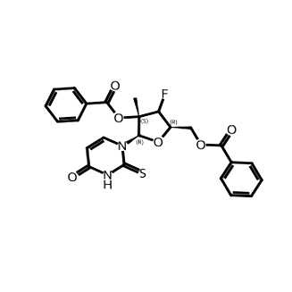 C[C@@]1(OC(=O)c2ccccc2)C(F)[C@@H](COC(=O)c2ccccc2)O[C@H]1n1ccc(=O)[nH]c1=S